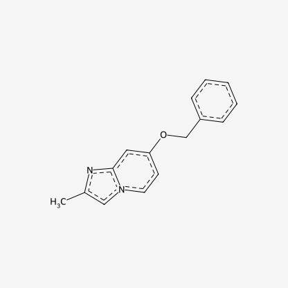 Cc1cn2ccc(OCc3ccccc3)cc2n1